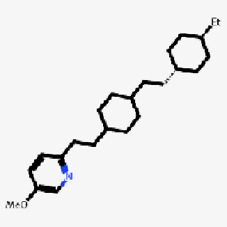 CC[C@H]1CC[C@H](CCC2CCC(CCc3ccc(OC)cn3)CC2)CC1